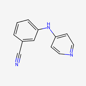 N#Cc1cccc(Nc2ccncc2)c1